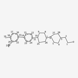 CCCC1CCC(C2CCC(c3ccc(-c4ccc(C)c(F)c4)cc3)CC2)CC1